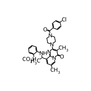 Cc1cc([C@@H](C)Nc2ccccc2C(=O)O)c2nc(N3CCN(C(=O)c4ccc(Cl)cc4)CC3)c(C)c(=O)n2c1